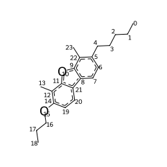 CCCCCc1ccc2c(oc3c(C)c(OCCC)ccc32)c1C